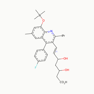 Cc1cc(O[Si](C)(C)C)c2nc(C(C)C)c(/C=C/C(O)CC(O)CC(=O)O)c(-c3ccc(F)cc3)c2c1